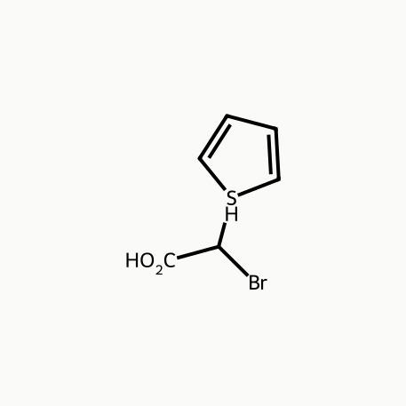 O=C(O)C(Br)[SH]1C=CC=C1